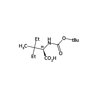 CCC(C)(CC)[C@@H](NC(=O)OC(C)(C)C)C(=O)O